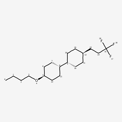 CCCCO[C@H]1CC[C@H]([C@H]2CC[C@H](CCC(F)(F)F)CC2)CC1